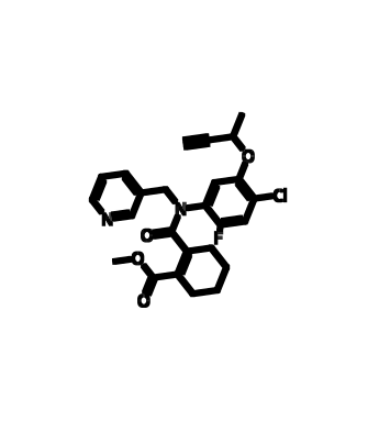 C#CC(C)Oc1cc(N(Cc2cccnc2)C(=O)C2=C(C(=O)OC)CCCC2)c(F)cc1Cl